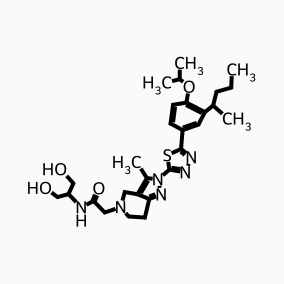 CCCC(C)c1cc(-c2nnc(-n3nc4c(c3C)CN(CC(=O)NC(CO)CO)CC4)s2)ccc1OC(C)C